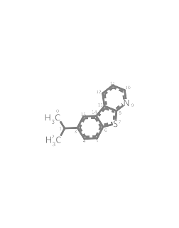 CC(C)c1ccc2sc3ncccc3c2c1